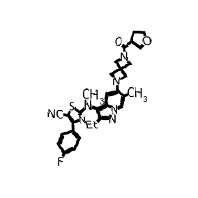 CCc1nn2cc(C)c(N3CC4(CN(C(=O)C5CCOC5)C4)C3)cc2c1N(C)c1nc(-c2ccc(F)cc2)c(C#N)s1